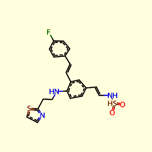 O=[SH](=O)N/C=C/c1ccc(NCCc2nccs2)c(C=Cc2ccc(F)cc2)c1